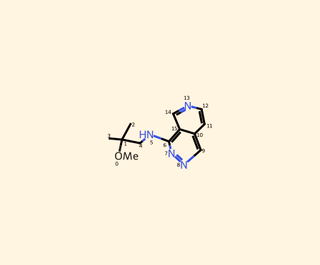 COC(C)(C)CNc1nncc2ccncc12